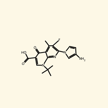 Cc1c(F)c(-n2ccc(N)c2)nc2c1c(=O)c(C(=O)O)cn2C(C)(C)C